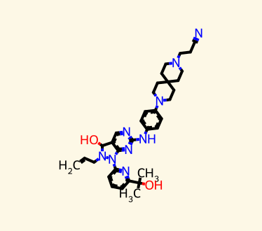 C=CCN1C(O)c2cnc(Nc3ccc(N4CCC5(CCN(CCC#N)CC5)CC4)cc3)nc2N1c1cccc(C(C)(C)O)n1